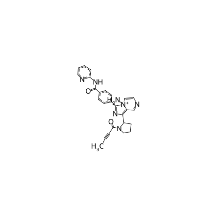 CC#CC(=O)N1CCCC1C1=C2C=NC=C[N+]2(N)C(c2ccc(C(=O)Nc3ccccn3)cc2)=N1